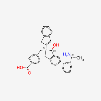 C[C@@H](N)c1ccccc1.O=C(O)c1ccc(C[C@@]2(C3=Cc4ccccc4C3)Cc3ccccc3[C@@H]2O)cc1